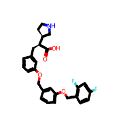 O=C(O)[C@@H](Cc1cccc(OCc2cccc(OCc3ccc(F)cc3F)c2)c1)[C@H]1CCNC1